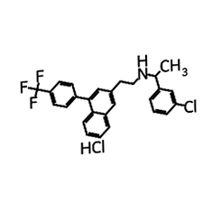 CC(NCCc1cc(-c2ccc(C(F)(F)F)cc2)c2ccccc2c1)c1cccc(Cl)c1.Cl